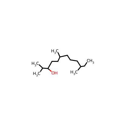 CCC(C)CCCC(C)CCC(O)C(C)C